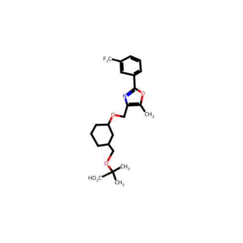 Cc1oc(-c2cccc(C(F)(F)F)c2)nc1COC1CCCC(COC(C)(C)C(=O)O)C1